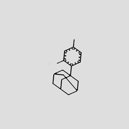 COc1cc(C(=O)O)ccc1C12CC3CC(CC(C3)C1)C2